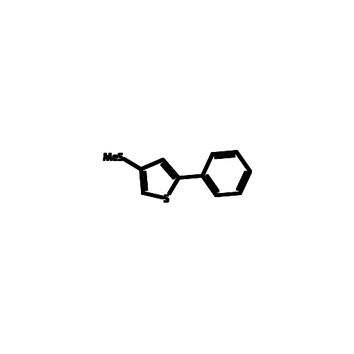 CSc1csc(-c2ccccc2)c1